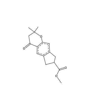 COC(=O)C1Cc2cc3c(cc2C1)C(=O)CC(C)(C)O3